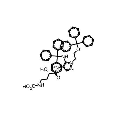 O=C(O)NCC[C@H](O)C(=O)Nc1cnn(CCOC(c2ccccc2)(c2ccccc2)c2ccccc2)c1NC(c1ccccc1)(c1ccccc1)c1ccccc1